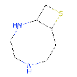 C1CNC2CSC2CCN1